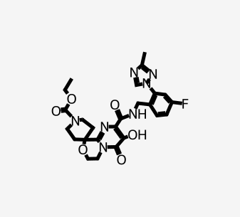 CCOC(=O)N1CCC2(CC1)OCCn1c2nc(C(=O)NCc2ccc(F)cc2-n2cnc(C)n2)c(O)c1=O